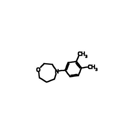 Cc1ccc(N2CCCOCC2)cc1C